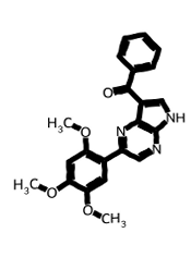 COc1cc(OC)c(-c2cnc3[nH]cc(C(=O)c4ccccc4)c3n2)cc1OC